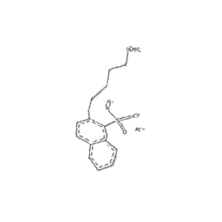 CCCCCCCCCCCCCCc1ccc2ccccc2c1S(=O)(=O)[O-].[K+]